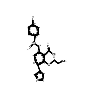 NCCOc1c(-c2ccoc2)ccc(C[S+]([O-])c2ccc(F)cc2)c1C(=O)O